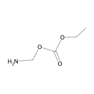 CCOC(=O)OCN